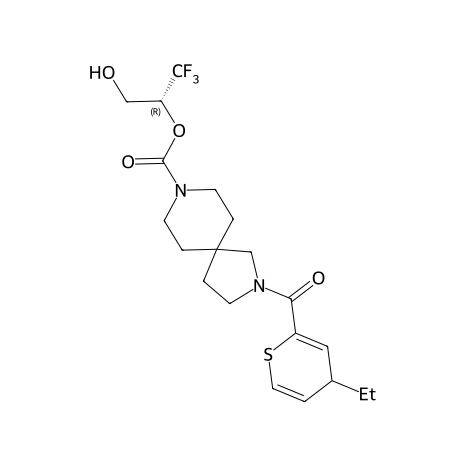 CCC1C=CSC(C(=O)N2CCC3(CCN(C(=O)O[C@H](CO)C(F)(F)F)CC3)C2)=C1